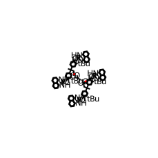 CC(C)(C)c1cc(C(C)(CC(=O)OCCOC(=O)CC(C)(c2ccc(OP3Nc4cccc5cccc(c45)N3)c(C(C)(C)C)c2)c2ccc(OP3Nc4cccc5cccc(c45)N3)c(C(C)(C)C)c2)c2ccc(OP3Nc4cccc5cccc(c45)N3)c(C(C)(C)C)c2)ccc1OP1Nc2cccc3cccc(c23)N1